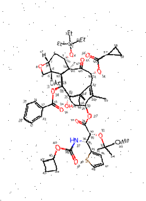 CC[Si](CC)(CC)O[C@H]1C[C@H]2OC[C@@]2(OC(C)=O)C2[C@H](OC(=O)c3ccccc3)[C@]3(O)C[C@H](OC(=O)[C@H](OC(C)(C)OC)[C@@H](NC(=O)OC4CCC4)c4cccs4)C(C)=C([C@@H](OC(=O)C4CC4)C(=O)[C@@]21C)C3(C)C